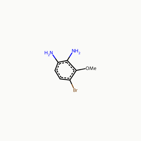 COc1c(Br)ccc(N)c1N